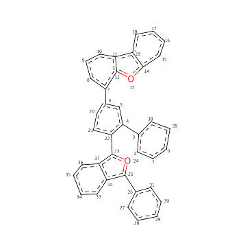 c1ccc(-c2cc(-c3cccc4c3oc3ccccc34)ccc2-c2oc(-c3ccccc3)c3ccccc23)cc1